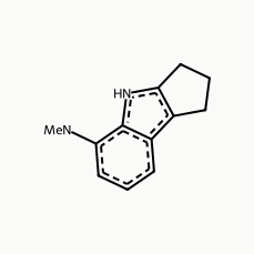 CNc1cccc2c3c([nH]c12)CCC3